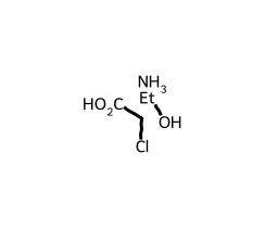 CCO.N.O=C(O)CCl